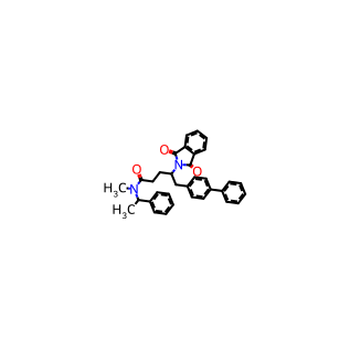 CC(c1ccccc1)N(C)C(=O)CCC(Cc1ccc(-c2ccccc2)cc1)N1C(=O)c2ccccc2C1=O